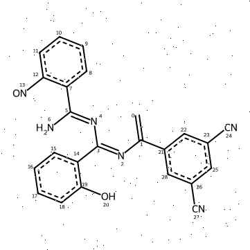 C=C(/N=C(\N=C(/N)c1ccccc1N=O)c1ccccc1O)c1cc(C#N)cc(C#N)c1